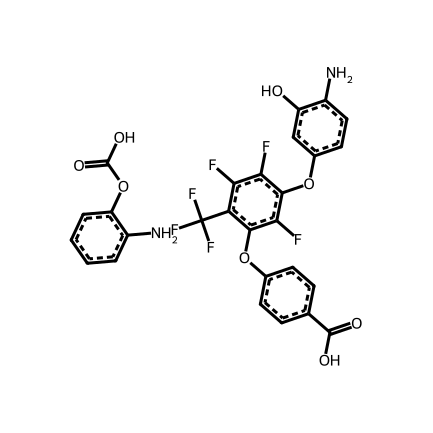 Nc1ccc(Oc2c(F)c(F)c(C(F)(F)F)c(Oc3ccc(C(=O)O)cc3)c2F)cc1O.Nc1ccccc1OC(=O)O